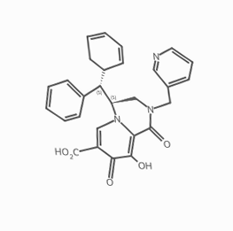 O=C(O)c1cn2c(c(O)c1=O)C(=O)N(Cc1cccnc1)C[C@@H]2[C@H](c1ccccc1)C1C=CC=CC1